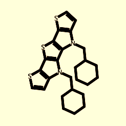 c1cc2c(s1)c1sc3c4sccc4n(CC4CCCCC4)c3c1n2CC1CCCCC1